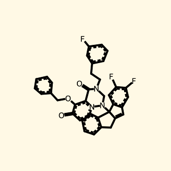 O=C1c2c(OCc3ccccc3)c(=O)ccn2N(C23C(=Cc4cc(F)c(F)cc42)Cc2ccccc23)CN1CCc1cccc(F)c1